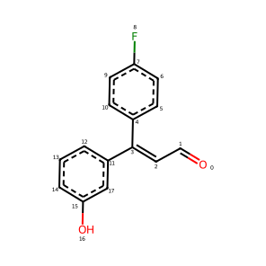 O=C/C=C(\c1ccc(F)cc1)c1cccc(O)c1